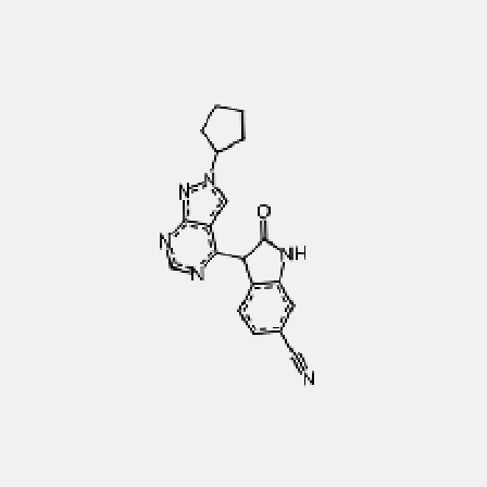 N#Cc1ccc2c(c1)NC(=O)C2c1ncnc2nn(C3CCCC3)cc12